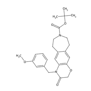 COc1cccc(CN2C(=O)COc3cc4c(cc32)CCN(C(=O)OC(C)(C)C)CC4)c1